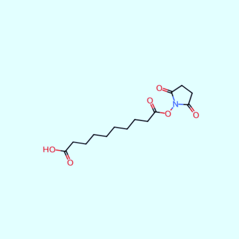 O=C(O)CCCCCCCCC(=O)ON1C(=O)CCC1=O